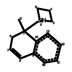 CC1([SiH]2CCC2)CC=Cc2ccccc21